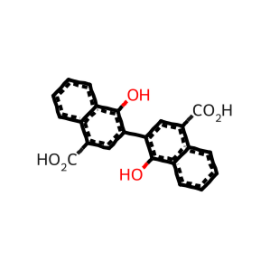 O=C(O)c1cc(-c2cc(C(=O)O)c3ccccc3c2O)c(O)c2ccccc12